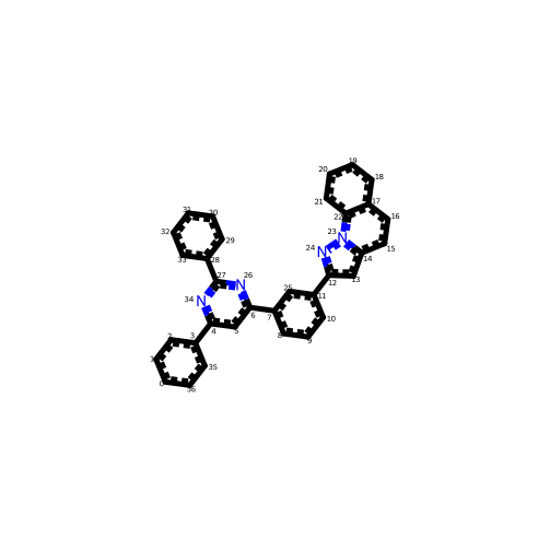 c1ccc(-c2cc(-c3cccc(-c4cc5ccc6ccccc6n5n4)c3)nc(-c3ccccc3)n2)cc1